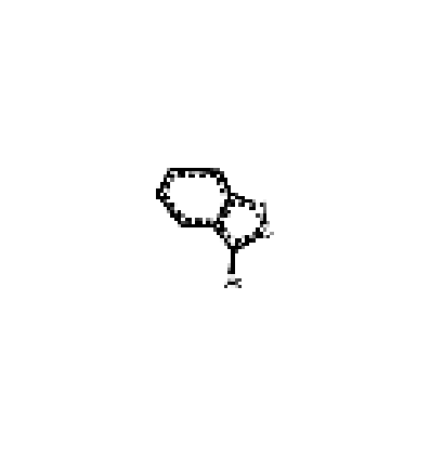 CC(=O)c1snc2ccccc12